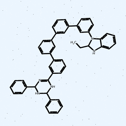 CCC1Nc2ccccc2N1c1cccc(-c2cccc(-c3cccc(-c4cccc(C5=NC(c6ccccc6)NC(c6ccccc6)N5)c4)c3)c2)c1